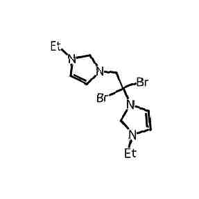 CCN1C=CN(CC(Br)(Br)N2C=CN(CC)C2)C1